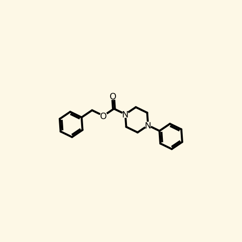 O=C(OCc1ccccc1)N1CCN(c2ccccc2)CC1